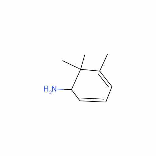 CC1=CC=CC(N)C1(C)C